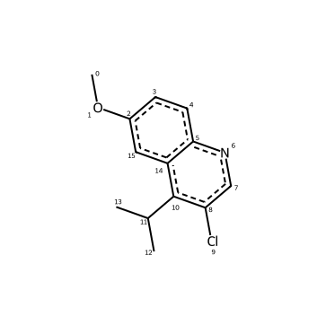 COc1ccc2ncc(Cl)c(C(C)C)c2c1